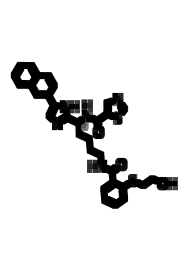 O=C(N[C@@H](CCCCNC(=O)c1ccccc1SCCO)c1ncc(-c2ccc3ccccc3c2)[nH]1)c1cncs1